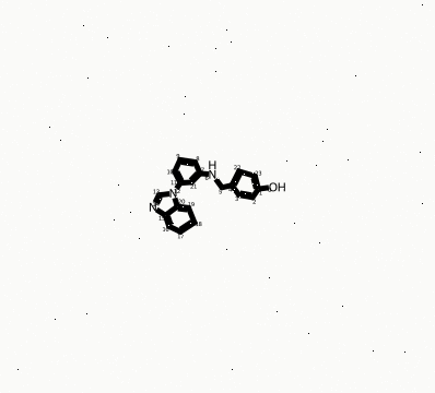 Oc1ccc(CNc2cccc(-n3cnc4ccccc43)c2)cc1